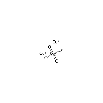 [Cu+].[Cu+].[O]=[Mo](=[O])([O-])[O-]